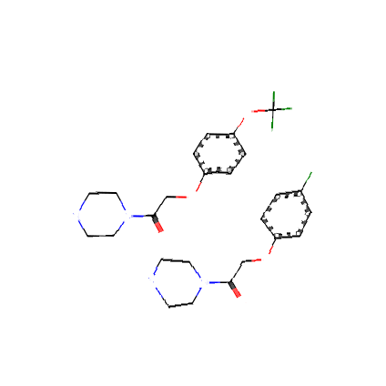 O=C(COc1ccc(F)cc1)N1CCNCC1.O=C(COc1ccc(OC(F)(F)F)cc1)N1CCNCC1